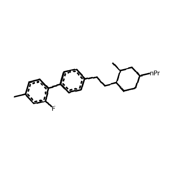 CCCC1CCC(CCc2ccc(-c3ccc(C)cc3F)cc2)C(C)C1